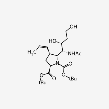 C/C=C\[C@@H]1C[C@H](C(=O)OC(C)(C)C)N(C(=O)OC(C)(C)C)[C@H]1[C@@H](NC(C)=O)[C@H](O)CCO